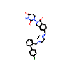 O=C1CCN(N2Cc3cc(CN4CCN(Cc5ccccc5-c5ccc(Cl)cc5)CC4)ccc3C2=O)C(=O)N1